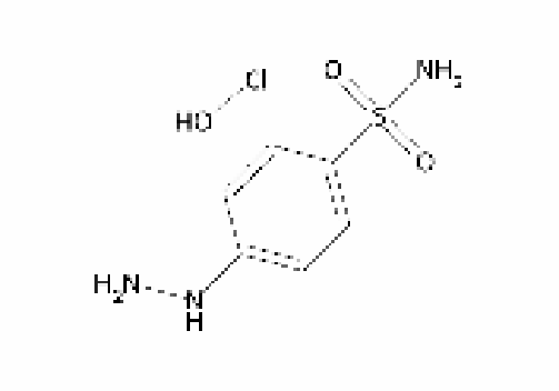 NNc1ccc(S(N)(=O)=O)cc1.OCl